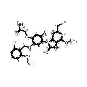 COc1cccc(F)c1COc1cc(-n2c(=O)[nH]c3c(OC)nc(CF)nc32)c(Cl)cc1OCC(N)=O